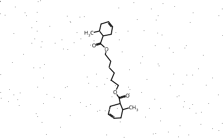 CC1CC=CCC1C(=O)OCCCCCCOC(=O)C1CC=CCC1C